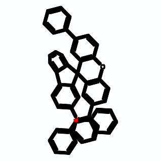 c1ccc(-c2ccc3c(c2)C2(c4cc(-c5ccccc5)ccc4O3)c3ccccc3-c3ccc(N(c4ccccc4)c4ccccc4)cc32)cc1